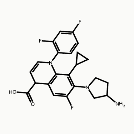 NC1CCN(c2c(F)cc3c(c2C2CC2)N(c2ccc(F)cc2F)C=CC3C(=O)O)C1